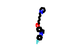 Fc1ccc(-n2ccc3cc(OCCCCCCN4CCCCC4)ccc32)cc1